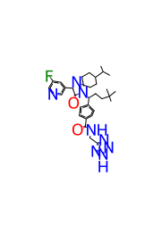 CC(C)C1CCC2(CC1)N=C(c1cncc(F)c1)C(=O)N2C(CCC(C)(C)C)c1ccc(C(=O)NCc2nn[nH]n2)cc1